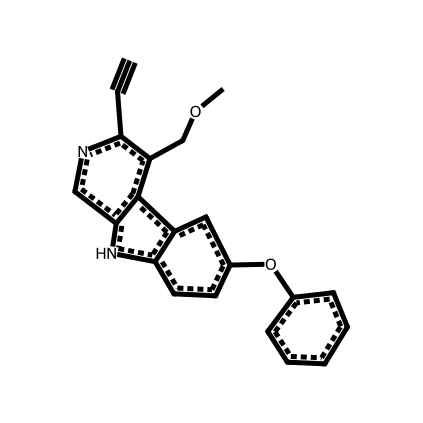 C#Cc1ncc2[nH]c3ccc(Oc4ccccc4)cc3c2c1COC